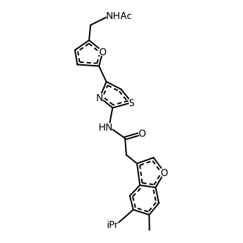 CC(=O)NCc1ccc(-c2csc(NC(=O)Cc3coc4cc(C)c(C(C)C)cc34)n2)o1